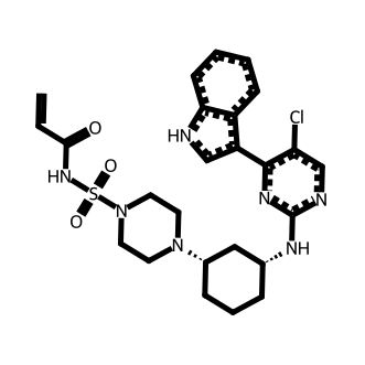 C=CC(=O)NS(=O)(=O)N1CCN([C@H]2CCC[C@@H](Nc3ncc(Cl)c(-c4c[nH]c5ccccc45)n3)C2)CC1